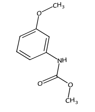 COC(=O)Nc1cccc(OC)c1